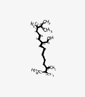 CC(C)C(C)CCCCCC(CO)CCCC(C)C(C)C